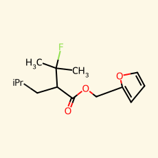 CC(C)CC(C(=O)OCc1ccco1)C(C)(C)F